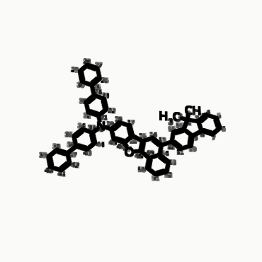 CC1(C)c2ccccc2-c2ccc(-c3cc4c5ccc(N(c6ccc(-c7ccccc7)cc6)c6ccc(-c7ccccc7)cc6)cc5oc4c4ccccc34)cc21